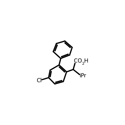 CC(C)C(C(=O)O)c1ccc(Cl)cc1-c1ccccc1